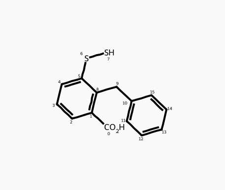 O=C(O)c1cccc(SS)c1Cc1ccccc1